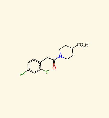 O=C(O)C1CCN(C(=O)Cc2ccc(F)cc2F)CC1